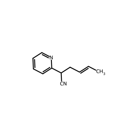 C/C=C/CC(C#N)c1ccccn1